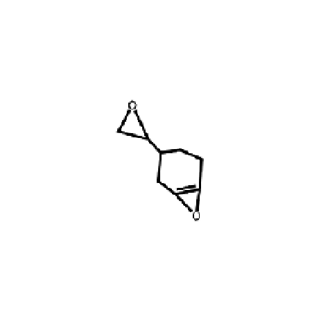 C1CC(C2CO2)CC2=C1O2